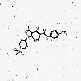 Cc1nn(C2CCN(S(C)(=O)=O)CC2)c2ncc(C(=O)Nc3ccc(C(F)(F)F)cc3)c(Cl)c12